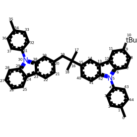 Cc1ccc(-n2c3ccc(C(C)(C)C)cc3c3cc(C(C)(C)Cc4ccc5c6ccccc6n(-c6ccc(C)cc6)c5c4)ccc32)cc1